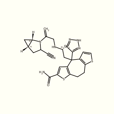 C=C(CN[C@H](C)CC1(c2nn[nH]n2)c2ccsc2CCc2sc(C(N)=O)cc21)N1C(C#N)C[C@@H]2C[C@@H]21